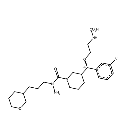 NN(CCCC1CCCOC1)C(=O)N1CCCC([C@@H](OCCNC(=O)O)c2cccc(Cl)c2)C1